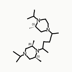 CC(C)N1C[C@@H](C)N(C(C)CCC(C)N2CCN(C(C)C)[C@@H](C)C2)[C@@H](C)C1